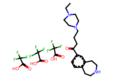 CCN1CCN(CCCC(=O)c2ccc3c(c2)CCNCC3)CC1.O=C(O)C(F)(F)F.O=C(O)C(F)(F)F.O=C(O)C(F)(F)F